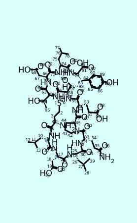 CSCC[C@H](N)C(=O)N[C@@H](CC(C)C)C(=O)N[C@@H](CC(=O)O)C(=O)N[C@@H](CC(C)C)C(=O)N[C@@H](CCC(N)=O)C(=O)N1CCC[C@H]1C(=O)N[C@@H](CCC(=O)O)C(=O)N[C@H](C(=O)N[C@H](C(=O)N[C@@H](CC(=O)O)C(=O)N[C@@H](CC(C)C)C(=O)N[C@@H](Cc1ccc(O)cc1)C(=O)O)[C@@H](C)O)[C@@H](C)O